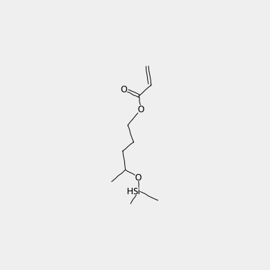 C=CC(=O)OCCCC(C)O[SiH](C)C